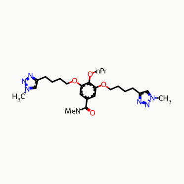 CCCOc1c(OCCCCc2cn(C)nn2)cc(C(=O)NC)cc1OCCCCc1cn(C)nn1